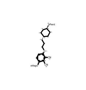 CCCCCCCc1ccc(OCCC[C@H]2CC[C@H](CCCCC)CC2)c(C#N)c1C#N